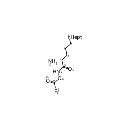 CCCCCCCCCCCC(=O)NOC(=O)CC.N